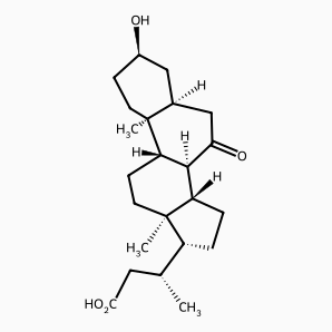 C[C@H](CC(=O)O)[C@H]1CC[C@H]2[C@@H]3C(=O)C[C@@H]4C[C@H](O)CC[C@]4(C)[C@H]3CC[C@]12C